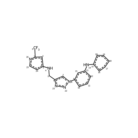 FC(F)(F)c1cc(NCc2cn(-c3cccc(Nc4ccccc4)c3)nn2)ccn1